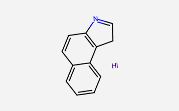 C1=Nc2ccc3ccccc3c2C1.I